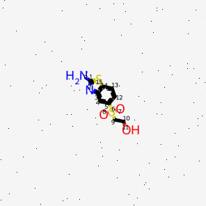 Nc1nc2cc(S(=O)(=O)CCO)ccc2s1